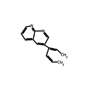 C/C=C\C(=C/C)c1cnc2ncccc2c1